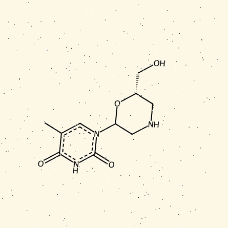 Cc1cn(C2CNC[C@@H](CO)O2)c(=O)[nH]c1=O